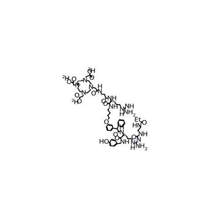 [2H]OC(=O)CN1CCN(CC(=O)NCCC(=O)N[C@H](CCCNC(=N)N)C(=O)NCCCCOc2cccc(C(C(=O)N[C@H](CCCN/C(N)=N\C(=O)NCCNC(=O)CC)C(=O)NCc3ccc(O)cc3)c3ccccc3)c2)CCN(CC(=O)O[2H])CCN(CC(=O)O[2H])CC1